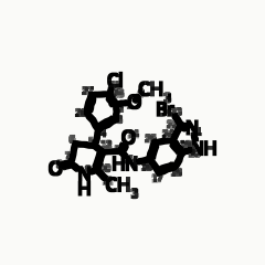 COc1cc(C2CC(=O)NC(C)=C2C(=O)Nc2ccc3[nH]nc(Br)c3c2)ccc1Cl